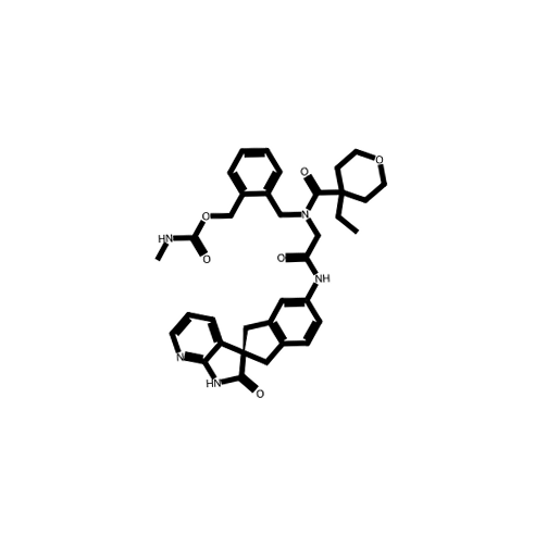 CCC1(C(=O)N(CC(=O)Nc2ccc3c(c2)C[C@@]2(C3)C(=O)Nc3ncccc32)Cc2ccccc2COC(=O)NC)CCOCC1